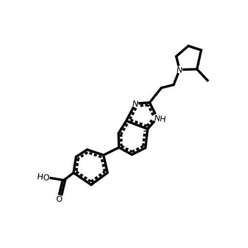 CC1CCCN1CCc1nc2cc(-c3ccc(C(=O)O)cc3)ccc2[nH]1